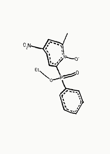 CCOP(=O)(c1ccccc1)c1cc([N+](=O)[O-])cc(C)[n+]1[O-]